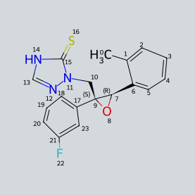 Cc1ccccc1[C@H]1O[C@]1(Cn1nc[nH]c1=S)c1cccc(F)c1